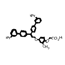 Cc1cc(OCC=C(c2ccc(-c3cccc(C(C)C)c3)cc2)c2ccc(-c3cccc(C(C)C)c3)cc2)ccc1OCC(=O)O